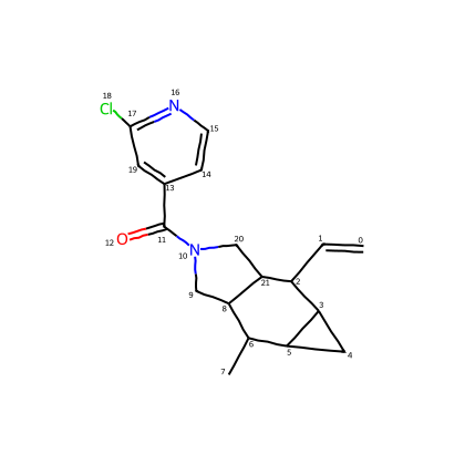 C=CC1C2CC2C(C)C2CN(C(=O)c3ccnc(Cl)c3)CC12